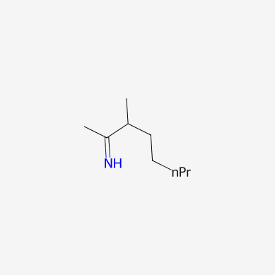 CCCCCC(C)C(C)=N